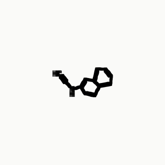 C#CNc1ccc2ccccc2c1